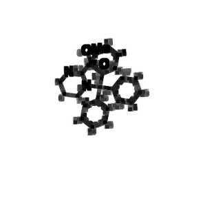 COC(=O)C1=NCCCN1C(c1ccccc1)(c1ccccc1)c1ccccc1